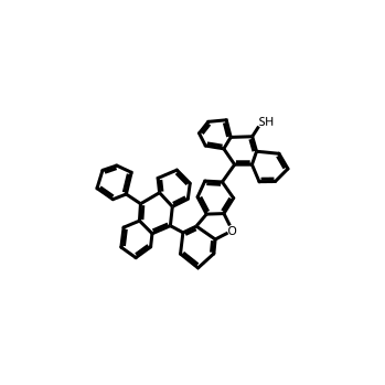 Sc1c2ccccc2c(-c2ccc3c(c2)oc2cccc(-c4c5ccccc5c(-c5ccccc5)c5ccccc45)c23)c2ccccc12